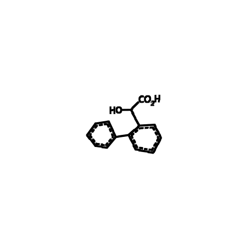 O=C(O)C(O)c1ccccc1-c1ccccc1